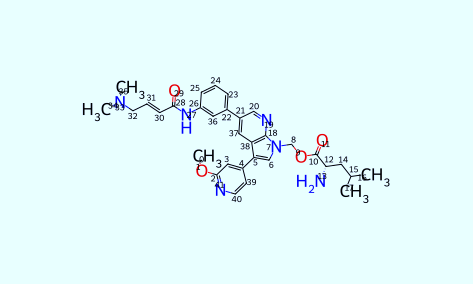 COc1cc(-c2cn(COC(=O)[C@@H](N)CC(C)C)c3ncc(-c4cccc(NC(=O)/C=C/CN(C)C)c4)cc23)ccn1